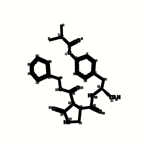 CN(C)C(=O)Oc1ccc(C[C@H](NC(=O)C2CNC(=O)N2C(=O)OCc2ccccc2)C(=O)O)cc1